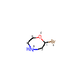 BrC1CNCCO1